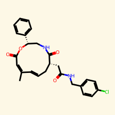 CC1=C/C(=O)O[C@H](c2ccccc2)CNC(=O)[C@H](CC(=O)NCc2ccc(Cl)cc2)C\C=C\1